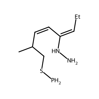 CC/C=C(\C=C/C(C)CSP)NN